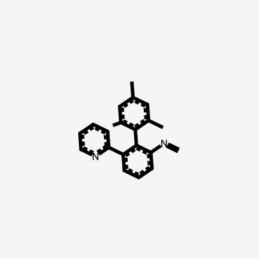 C=Nc1cccc(-c2ccccn2)c1-c1c(C)cc(C)cc1C